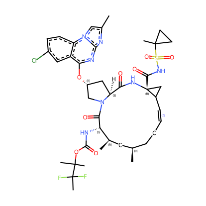 Cc1cn2c(n1)nc(O[C@@H]1C[C@H]3C(=O)N[C@]4(C(=O)NS(=O)(=O)C5(C)CC5)CC4/C=C\CC[C@@H](C)C[C@@H](C)[C@H](NC(=O)OC(C)(C)C(C)(F)F)C(=O)N3C1)c1cc(Cl)ccc12